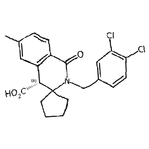 Cc1ccc2c(c1)[C@@H](C(=O)O)C1(CCCC1)N(Cc1ccc(Cl)c(Cl)c1)C2=O